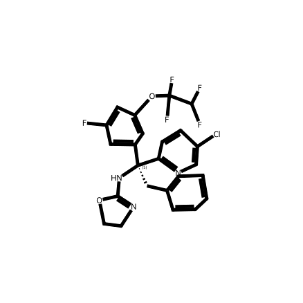 Fc1cc(OC(F)(F)C(F)F)cc([C@](Cc2ccccc2)(NC2=NCCO2)c2ccc(Cl)cn2)c1